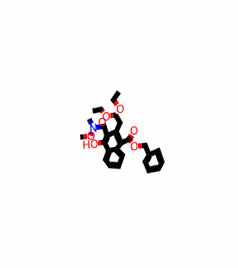 CCOC(Cc1c(C(=O)N(C)OC)c(O)c2ccccc2c1C(=O)OCc1ccccc1)OCC